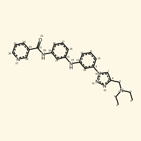 CCN(CC)Cc1cn(-c2cccc(Nc3cccc(NC(=O)c4cccnc4)c3)c2)nn1